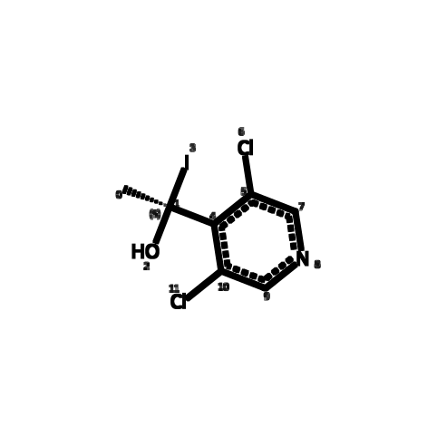 C[C@](O)(I)c1c(Cl)cncc1Cl